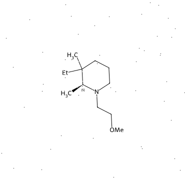 CCC1(C)CCCN(CCOC)[C@H]1C